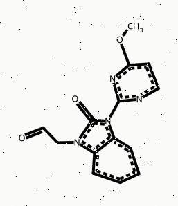 COc1ccnc(-n2c(=O)n(CC=O)c3ccccc32)n1